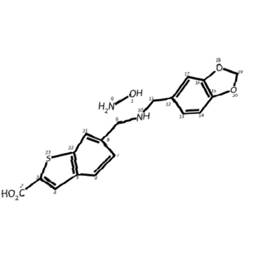 NO.O=C(O)c1cc2ccc(CNCc3ccc4c(c3)OCO4)cc2s1